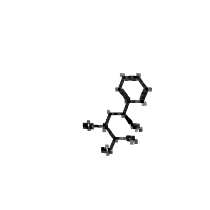 CC(C)N(C)C[C@H](N)c1ccccc1